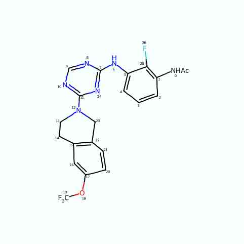 CC(=O)Nc1cccc(Nc2ncnc(N3CCc4cc(OC(F)(F)F)ccc4C3)n2)c1F